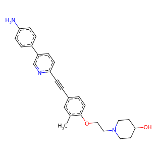 Cc1cc(C#Cc2ccc(-c3ccc(N)cc3)cn2)ccc1OCCN1CCC(O)CC1